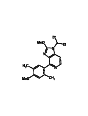 CCC(CC)n1c(OC)nc2c(-c3cc(C)c(OC)cc3C)nccc21